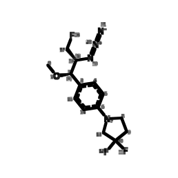 CO[C@H](c1ccc(N2CCC(F)(F)C2)cc1)[C@@H](CF)N=[N+]=[N-]